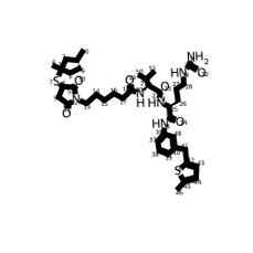 CCCC(C)(CC)SC1CC(=O)N(CCCCCC(=O)N[C@H](C(=O)N[C@@H](CCCNC(N)=O)C(=O)Nc2cccc(Cc3ccc(C)s3)c2)C(C)C)C1=O